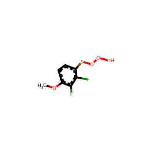 COc1ccc(SOOO)c(F)c1F